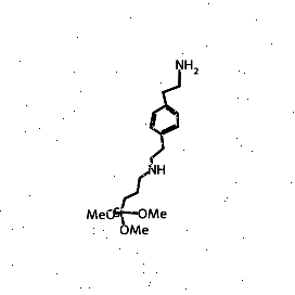 CO[Si](CCCNCCc1ccc(CCN)cc1)(OC)OC